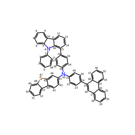 c1ccc(-n2c3ccccc3c3cccc(-c4ccc(N(c5ccc(-c6cc7ccccc7c7ccccc67)cc5)c5ccc6c(c5)sc5ccccc56)cc4)c32)cc1